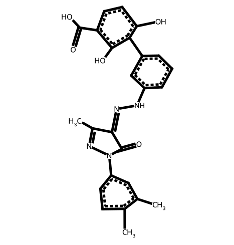 CC1=NN(c2ccc(C)c(C)c2)C(=O)C1=NNc1cccc(-c2c(O)ccc(C(=O)O)c2O)c1